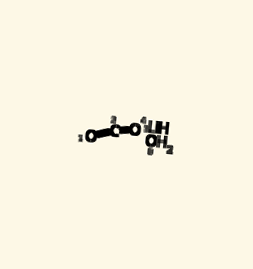 O.O=C=O.[LiH]